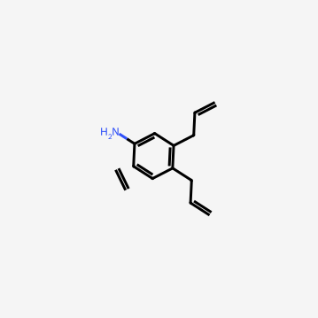 C=C.C=CCc1ccc(N)cc1CC=C